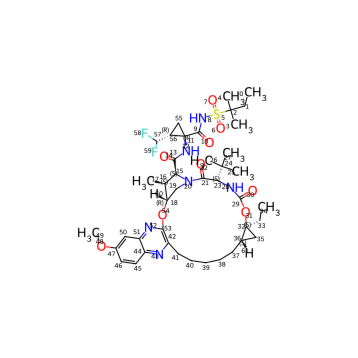 CCC(C)(C)S(=O)(=O)NC(=O)[C@@]1(NC(=O)[C@@H]2[C@H](C)[C@@H]3CN2C(=O)[C@H](C(C)(C)C)NC(=O)O[C@@]2(CC)C[C@@H]2CCCCCc2nc4ccc(OC)cc4nc2O3)C[C@H]1C(F)F